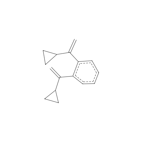 C=C(c1ccccc1C(=C)C1CC1)C1CC1